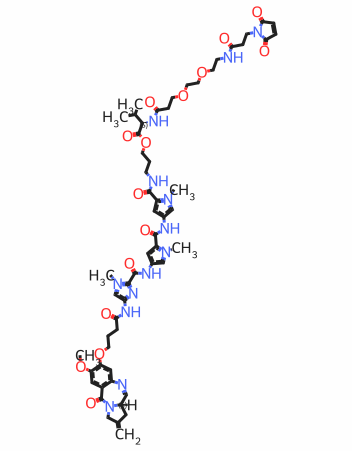 C=C1C[C@H]2C=Nc3cc(OCCCC(=O)Nc4cn(C)c(C(=O)Nc5cc(C(=O)Nc6cc(C(=O)NCCCOC(=O)[C@@H](NC(=O)CCOCCOCCNC(=O)CCN7C(=O)C=CC7=O)C(C)C)n(C)c6)n(C)c5)n4)c(OC)cc3C(=O)N2C1